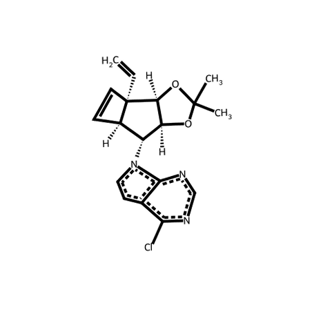 C=C[C@@]12C=C[C@@H]1[C@@H](n1ccc3c(Cl)ncnc31)[C@@H]1OC(C)(C)O[C@@H]12